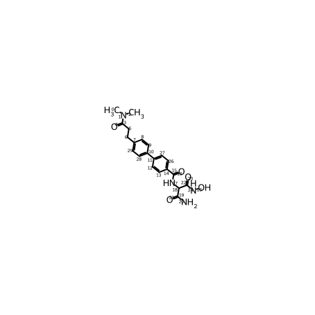 CN(C)C(=O)CCc1ccc(-c2ccc(C(=O)NC(C(N)=O)C(=O)NO)cc2)cc1